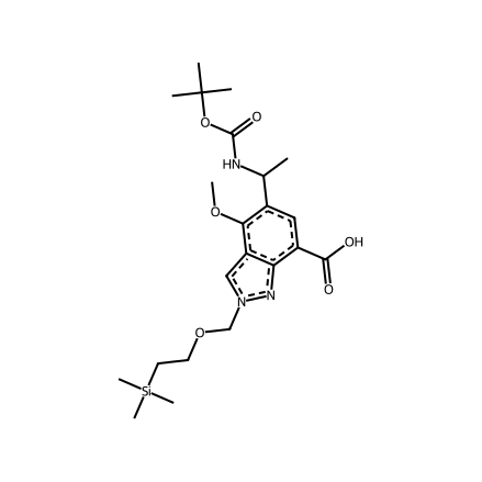 COc1c(C(C)NC(=O)OC(C)(C)C)cc(C(=O)O)c2nn(COCC[Si](C)(C)C)cc12